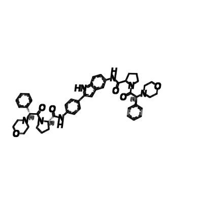 O=C(Nc1ccc2[nH]c(-c3ccc(NC(=O)[C@@H]4CCCN4C(=O)[C@@H](c4ccccc4)N4CCOCC4)cc3)cc2c1)C1CCCN1C(=O)[C@H](c1ccccc1)N1CCOCC1